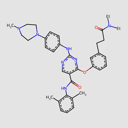 CCN(CC)C(=O)CCc1cccc(Oc2nc(Nc3ccc(N4CCN(C)CC4)cc3)ncc2C(=O)Nc2c(C)cccc2C)c1